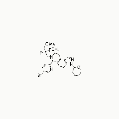 COCC(F)(F)CN1[C@H](c2ccc(Br)cn2)c2ccc3c(cnn3C3CCCCO3)c2C[C@H]1C